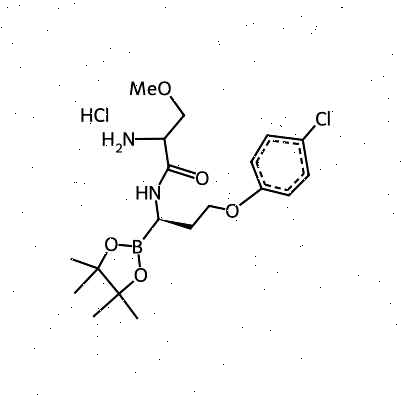 COCC(N)C(=O)N[C@@H](CCOc1ccc(Cl)cc1)B1OC(C)(C)C(C)(C)O1.Cl